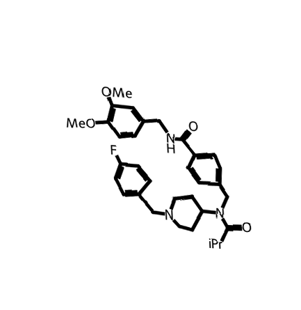 COc1ccc(CNC(=O)c2ccc(CN(C(=O)C(C)C)C3CCN(Cc4ccc(F)cc4)CC3)cc2)cc1OC